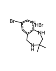 Br.CC1(C)CNc2ncc(Br)cc2CN1